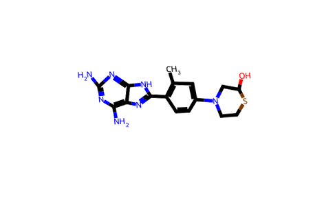 Cc1cc(N2CCSC(O)C2)ccc1-c1nc2c(N)nc(N)nc2[nH]1